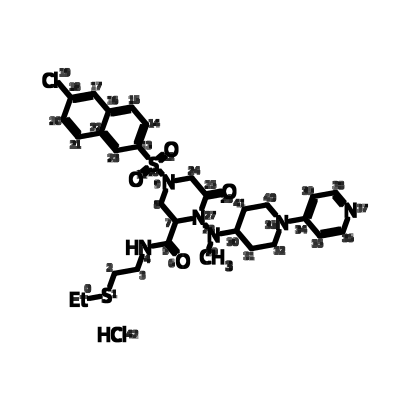 CCSCCNC(=O)C1CN(S(=O)(=O)c2ccc3cc(Cl)ccc3c2)CC(=O)N1N(C)C1CCN(c2ccncc2)CC1.Cl